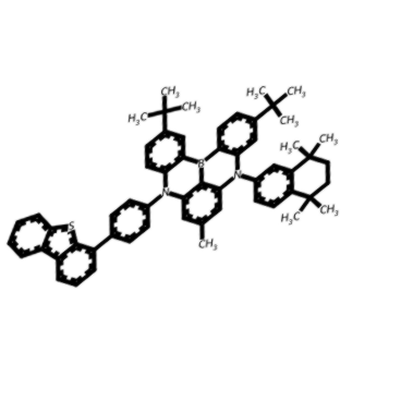 Cc1cc2c3c(c1)N(c1ccc4c(c1)C(C)(C)CCC4(C)C)c1cc(C(C)(C)C)ccc1B3c1cc(C(C)(C)C)ccc1N2c1ccc(-c2cccc3c2sc2ccccc23)cc1